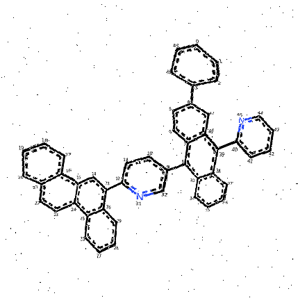 c1ccc(-c2ccc3c(-c4ccc(-c5cc6c7ccccc7ccc6c6ccccc56)nc4)c4ccccc4c(-c4ccccn4)c3c2)cc1